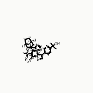 CC(C)(O)c1ccc(-c2cnn3c(N)c(S(C)(=O)=O)c([C@H]4C[C@H]5CC[C@@H](C4)N5[C]c4ncn[nH]4)nc23)cn1